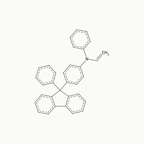 C=CN(c1ccccc1)c1ccc(C2(c3ccccc3)c3ccccc3-c3ccccc32)cc1